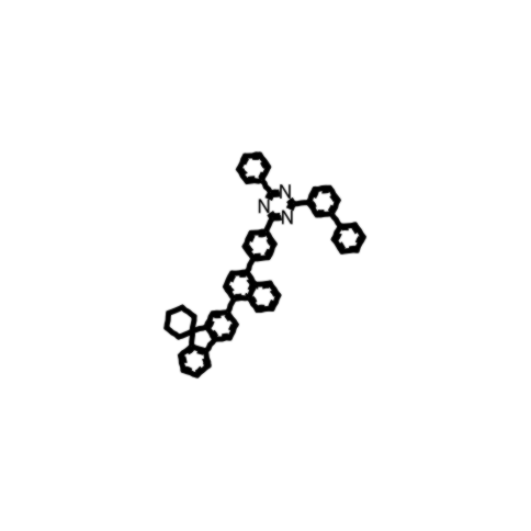 c1ccc(-c2cccc(-c3nc(-c4ccccc4)nc(-c4ccc(-c5ccc(-c6ccc7c(c6)C6(CCCCC6)c6ccccc6-7)c6ccccc56)cc4)n3)c2)cc1